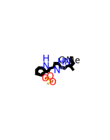 COC1=CC(c2[nH]c3ccccc3c2OS(C)(=O)=O)=N/C1=C/c1[nH]c(C)cc1C